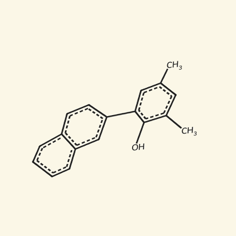 Cc1cc(C)c(O)c(-c2ccc3ccccc3c2)c1